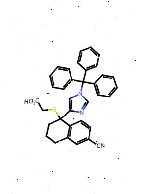 N#Cc1ccc2c(c1)CCCC2(SCC(=O)O)c1cn(C(c2ccccc2)(c2ccccc2)c2ccccc2)cn1